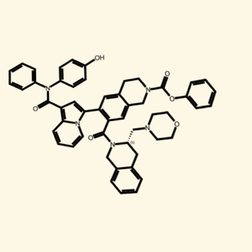 O=C(Oc1ccccc1)N1CCc2cc(-c3cc(C(=O)N(c4ccccc4)c4ccc(O)cc4)c4ccccn34)c(C(=O)N3Cc4ccccc4C[C@H]3CN3CCOCC3)cc2C1